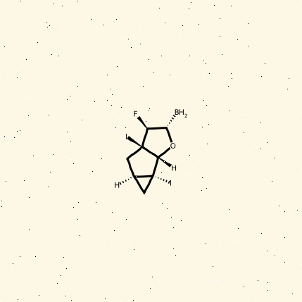 B[C@@H]1O[C@@H]2[C@@]3(I)C[C@H]3C[C@]2(I)[C@H]1F